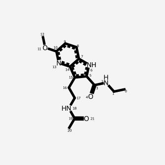 CCNC(=O)c1[nH]c2ccc(OC)nc2c1CCNC(C)=O